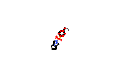 Cc1ccc(S(=O)(=O)N2CC34C=CCC3(C2)CN(S(=O)(=O)c2ccc(C)cc2)C4)cc1